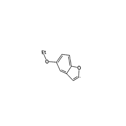 CCOc1ccc2o[c]cc2c1